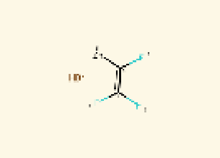 Br.FC(F)=[C](F)[Zn]